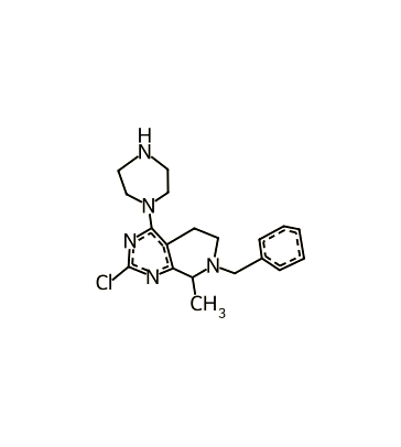 CC1c2nc(Cl)nc(N3CCNCC3)c2CCN1Cc1ccccc1